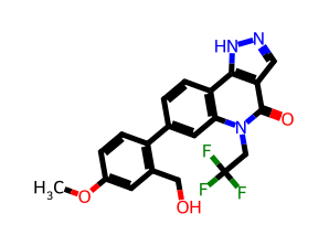 COc1ccc(-c2ccc3c4[nH]ncc4c(=O)n(CC(F)(F)F)c3c2)c(CO)c1